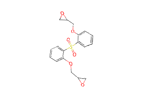 O=S(=O)(c1ccccc1OCC1CO1)c1ccccc1OCC1CO1